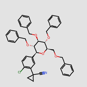 N#CC1(c2cc([C@@H]3O[C@H](COCc4ccccc4)[C@@H](OCc4ccccc4)[C@H](OCc4ccccc4)[C@H]3OCc3ccccc3)ccc2Cl)CC1